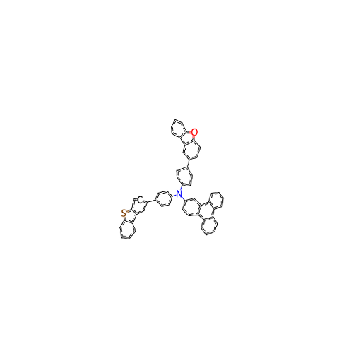 c1ccc2c(c1)oc1ccc(-c3ccc(N(c4ccc(-c5ccc6sc7ccccc7c6c5)cc4)c4ccc5c6ccccc6c6ccccc6c5c4)cc3)cc12